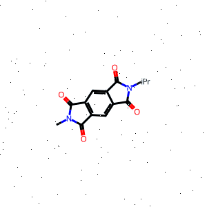 CC(C)n1c(=O)c2cc3c(=O)n(C)c(=O)c3cc2c1=O